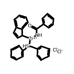 O=C([NH][Zr+2]([CH]1C=Cc2ccccc21)[SiH](c1ccccc1)c1ccccc1)c1ccccc1.[Cl-].[Cl-]